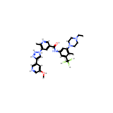 CCN1CCN(c2cc(NC(=O)c3cnc(C)c(-n4cc(-c5cncc(OC)c5)nn4)c3)cc(C(F)(F)F)c2C)CC1